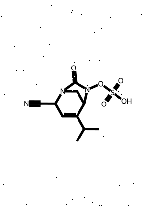 CC(C)C1=CC(C#N)N2CC1N(OS(=O)(=O)O)C2=O